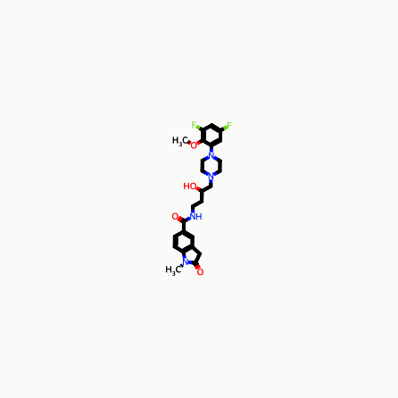 COc1c(F)cc(F)cc1N1CCN(CC(O)CCNC(=O)c2ccc3c(c2)CC(=O)N3C)CC1